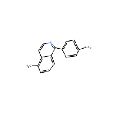 Cc1ccc(-c2nccc3c(C)cccc23)cc1